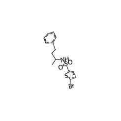 CC(CCc1ccccc1)NS(=O)(=O)c1ccc(Br)s1